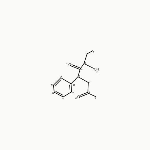 CCC(O)C(=O)C(CC(C)=O)c1ccccc1